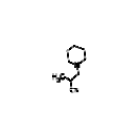 CC(C#N)CN1CCCCC1